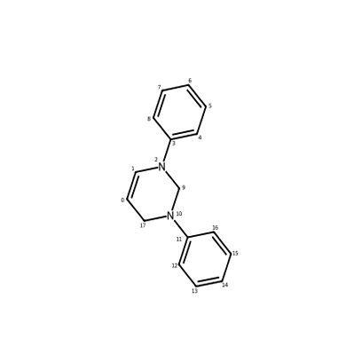 C1=CN(c2ccccc2)CN(c2ccccc2)C1